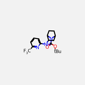 CC(C)(C)OC(=O)N1C2CCC1C(Nc1cccc(C(F)(F)F)n1)C2